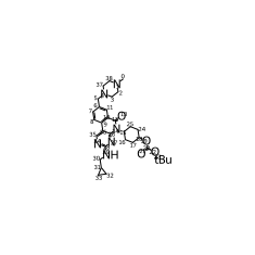 CN1CCN(Cc2ccc3c(c2)c(=O)n([C@H]2CC[C@H](OC(=O)OC(C)(C)C)CC2)c2nc(NCC4CC4)ncc32)CC1